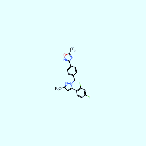 Fc1ccc(-c2cc(C(F)(F)F)nn2Cc2ccc(-c3noc(C(F)(F)F)n3)cc2)c(F)c1